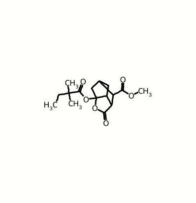 CCC(C)(C)C(=O)OC12CC3CC1C(C(=O)O2)C3C(=O)OC